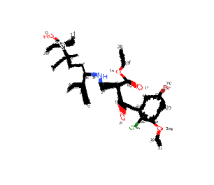 C=C(C)[C@@H](CCC(C)(C)[Si](C)(C)O)NC=C(C(=O)OCC)C(=O)c1cc(Br)cc(OCC)c1Cl